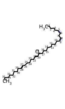 CCCCC/C=C\C/C=C\CCCCCCC[CH]C(=O)C=CCCCCCC=CCCCCCCCC